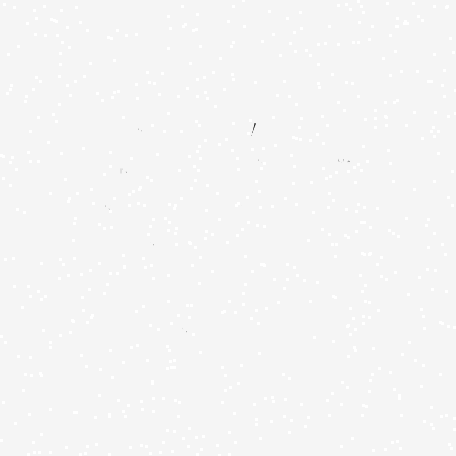 COCC(=O)N1CCCCC(c2ccnc(Nc3nc4ccc(-c5ccncc5)nc4s3)c2)C[C@H]1C